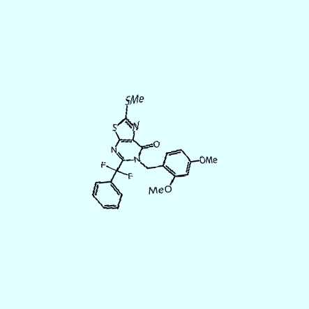 COc1ccc(Cn2c(C(F)(F)c3ccccc3)nc3sc(SC)nc3c2=O)c(OC)c1